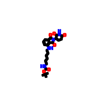 CC(C)(C)OC(=O)NCCCCCCNc1cccc2c1C(=O)N(C1CCC(=O)NC1=O)C2=O